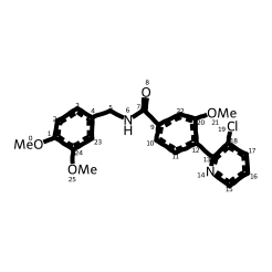 COc1ccc(CNC(=O)c2ccc(-c3ncccc3Cl)c(OC)c2)cc1OC